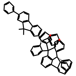 CC1(C)c2cc(-c3ccccc3)ccc2-c2ccc(N(c3ccccc3)c3ccccc3C3(c4ccccc4)c4ccccc4[C@@]4(c5ccccc5)c5ccccc5-c5cccc3c54)cc21